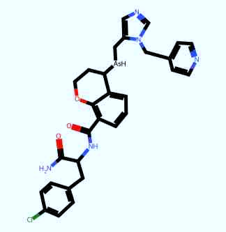 NC(=O)C(Cc1ccc(Cl)cc1)NC(=O)c1cccc2c1OCCC2[AsH]Cc1cncn1Cc1ccncc1